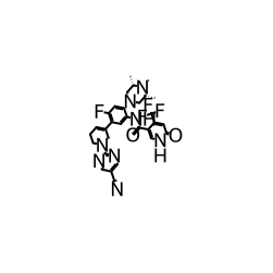 C[C@@H]1CN(c2cc(F)c(C3=CCCN(c4ncc(C#N)cn4)C3)cc2NC(=O)c2c[nH]c(=O)cc2C(F)(F)F)C[C@H](C)N1C